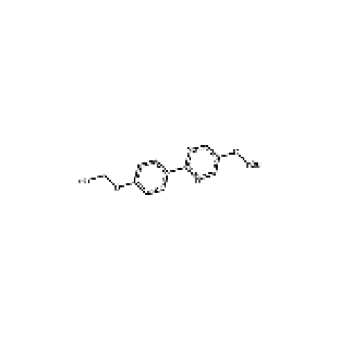 CCCCOc1cnc(-c2ccc(OCC(C)CC)cc2)nc1